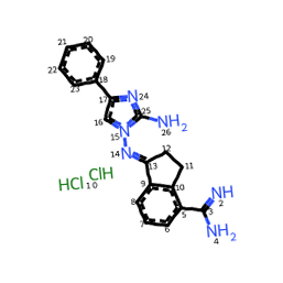 Cl.Cl.N=C(N)c1cccc2c1CCC2=Nn1cc(-c2ccccc2)nc1N